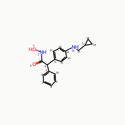 O=C(NO)C(c1ccccc1)c1ccc(NCC2CC2)cc1